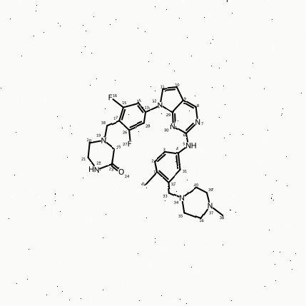 Cc1ccc(Nc2ncc3ccn(-c4cc(F)c(CN5CCNC(=O)C5)c(F)c4)c3n2)cc1CN1CCN(C)CC1